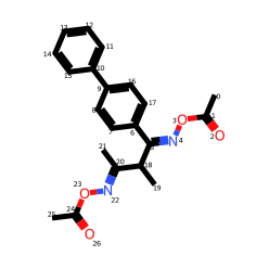 CC(=O)O/N=C(\c1ccc(-c2ccccc2)cc1)C(C)/C(C)=N/OC(C)=O